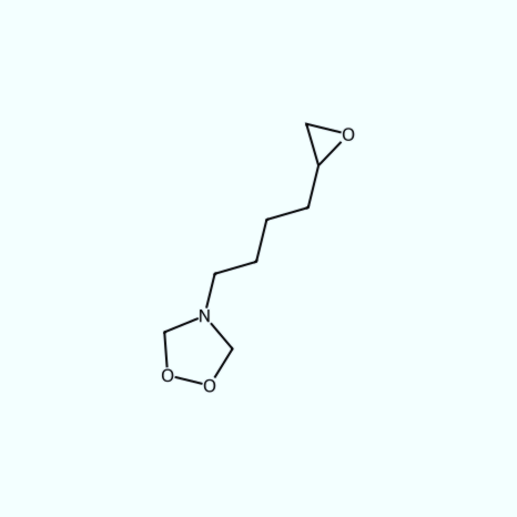 C(CCN1COOC1)CC1CO1